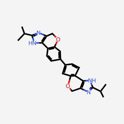 CC(C)c1nc2c([nH]1)-c1ccc(-c3ccc4c(c3)OCc3nc(C(C)C)[nH]c3-4)cc1OC2